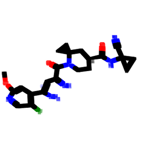 COc1cc(/C(N)=C/C(=N)C(=O)N2CC[C@H](C(=O)NC3(C#N)CC3)CC23CC3)c(F)cn1